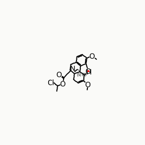 COC1=CCC2C3Cc4ccc(OC)c5c4[C@@]2(CCN3C(=O)OC(C)Cl)[C@H]1O5